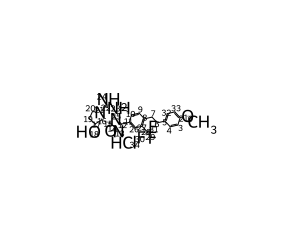 COc1ccc(CCc2ccc(-c3noc([C@@H]4[C@@H](O)CCN4C(=N)N)n3)cc2C(F)(F)F)cc1.Cl